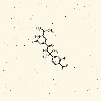 CN(C)c1nc(C(=O)NC(C)(C)c2ccc(C(F)F)c(F)c2)cc(=O)[nH]1